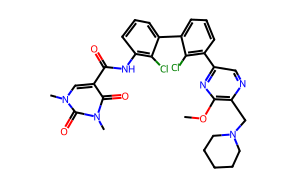 COc1nc(-c2cccc(-c3cccc(NC(=O)c4cn(C)c(=O)n(C)c4=O)c3Cl)c2Cl)cnc1CN1CCCCC1